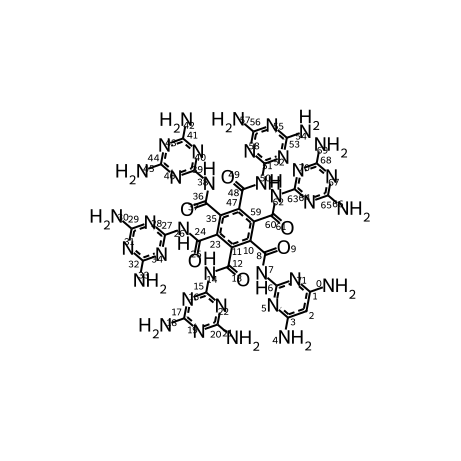 Nc1cc(N)nc(NC(=O)c2c(C(=O)Nc3nc(N)nc(N)n3)c(C(=O)Nc3nc(N)nc(N)n3)c(C(=O)Nc3nc(N)nc(N)n3)c(C(=O)Nc3nc(N)nc(N)n3)c2C(=O)Nc2nc(N)nc(N)n2)n1